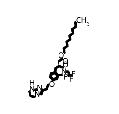 CCCCCCCCCCCOC(=O)C[C@@H]1Cc2ccc(OCCc3cn4c(n3)NCCC4)cc2CN(CC(F)(F)F)C1=O